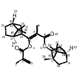 C=C(C)C(=O)OC(=C(C)C(=O)OC1C[C@H]2CC[C@@]1(C)C2(C)C)C1C[C@H]2CC[C@@]1(C)C2(C)C